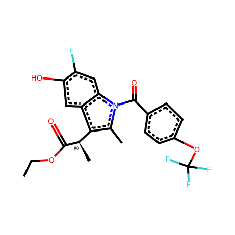 CCOC(=O)[C@H](C)c1c(C)n(C(=O)c2ccc(OC(F)(F)F)cc2)c2cc(F)c(O)cc12